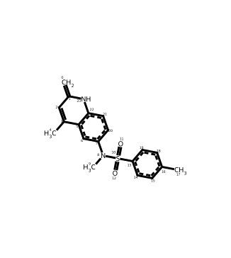 C=C1C=C(C)c2cc(N(C)S(=O)(=O)c3ccc(C)cc3)ccc2N1